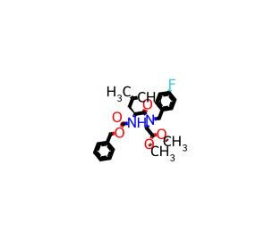 COC(CN(Cc1ccc(F)cc1)C(=O)[C@H](CC(C)C)NC(=O)OCc1ccccc1)OC